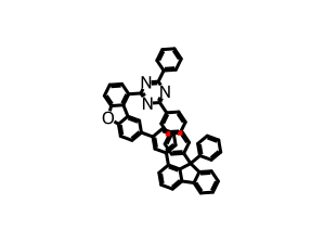 c1ccc(-c2nc(-c3ccccc3)nc(-c3cccc4oc5ccc(-c6cccc(-c7cccc8c7C(c7ccccc7)(c7ccccc7)c7ccccc7-8)c6)cc5c34)n2)cc1